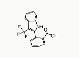 O=C(O)c1ccccc1-c1[nH]c2ccccc2c1C(F)(F)F